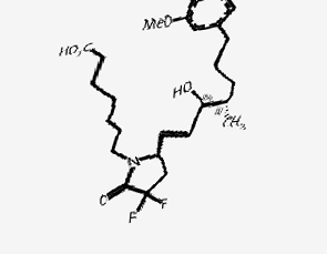 COc1cccc(CCC[C@H](C)[C@H](O)C=CC2CC(F)(F)C(=O)N2CCCCCCC(=O)O)c1